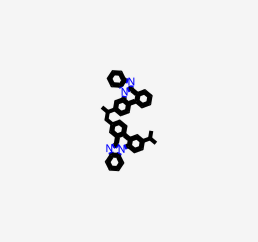 CC(C)c1ccc2c(c1)c1ccc(CC(C)c3ccc4c5ccccc5c5nc6ccccc6n5c4c3)cc1c1nc3ccccc3n21